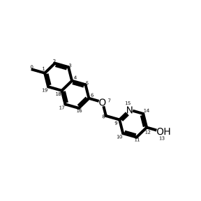 Cc1ccc2cc(OCc3ccc(O)cn3)ccc2c1